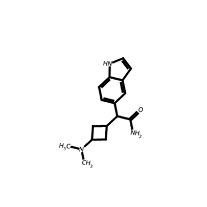 CN(C)C1CC(C(C(N)=O)c2ccc3[nH]ccc3c2)C1